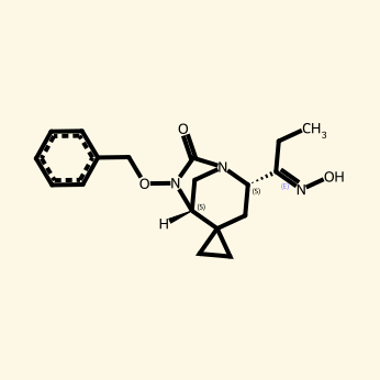 CC/C(=N\O)[C@@H]1CC2(CC2)[C@H]2CN1C(=O)N2OCc1ccccc1